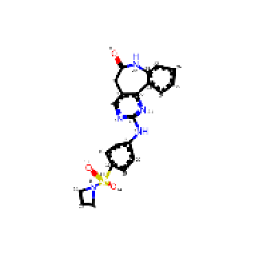 O=C1Cc2cnc(Nc3ccc(S(=O)(=O)N4CCC4)cc3)nc2-c2ccccc2N1